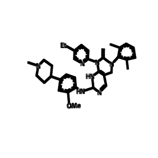 C=C1N(c2c(C)cccc2C)CC2=C(NC(Nc3ccc(C4CCN(C)CC4)cc3OC)N=C2)N1c1ccc(CC)cn1